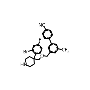 N#Cc1ccc(-c2cc(COCC3(c4ccc(F)cc4Br)CCNCC3)cc(C(F)(F)F)c2)cc1